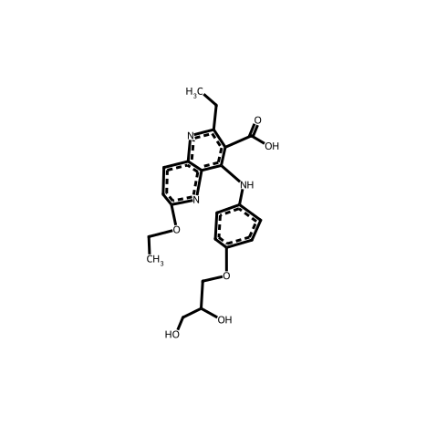 CCOc1ccc2nc(CC)c(C(=O)O)c(Nc3ccc(OCC(O)CO)cc3)c2n1